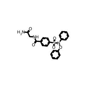 NC(=O)CNC(=O)c1ccc(S(=O)(=O)N(Oc2ccccc2)c2ccccc2)cc1